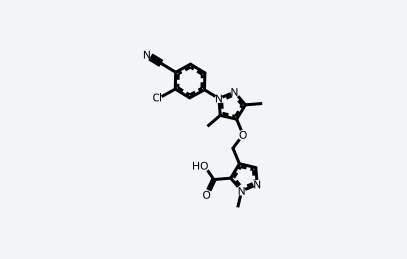 Cc1nn(-c2ccc(C#N)c(Cl)c2)c(C)c1OCc1cnn(C)c1C(=O)O